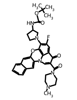 CN1CCN(C(=O)c2cn3c4c(c(N5CCC(NC(=O)OC(C)(C)C)C5)c(F)cc4c2=O)Oc2cc4ccccc4cc2-3)CC1